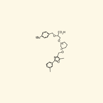 Cc1cccc(-c2nc(CO[C@H]3CCC[C@@H](OCC(OCc4ccc(C(C)(C)C)cc4)C(=O)O)C3)c(C)o2)c1